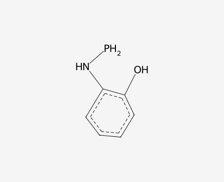 Oc1ccccc1NP